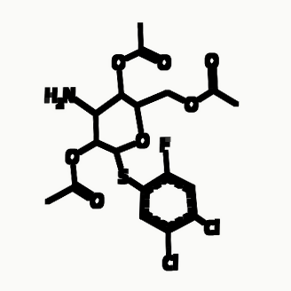 CC(=O)OCC1OC(Sc2cc(Cl)c(Cl)cc2F)C(OC(C)=O)C(N)C1OC(C)=O